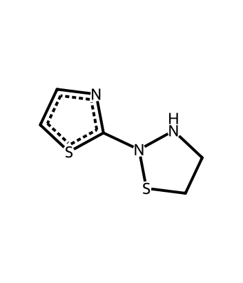 c1csc(N2NCCS2)n1